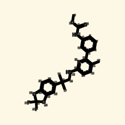 COC(=O)Nc1cccc(-c2nc(NCC(C)(C)c3ccc4c(c3)OC(F)(F)O4)ccc2C)c1